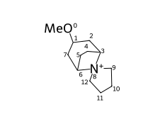 COC1CC2CCC(C1)[N+]21CCCC1